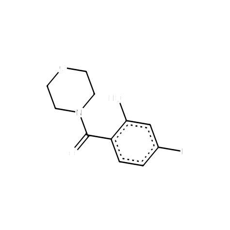 O=C(c1ccc(I)cc1O)N1CCOCC1